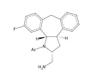 CC(=O)N1[C@@H](CN)C[C@@H]2c3ccccc3Cc3ccc(F)cc3[C@H]21